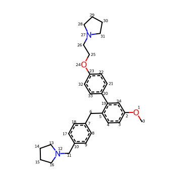 COc1ccc(Cc2ccc(CN3CCCC3)cc2)c(-c2ccc(OCCN3CCCC3)cc2)c1